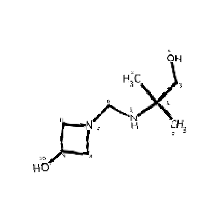 CC(C)(CO)NCN1CC(O)C1